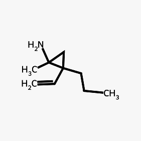 C=CC1(CCC)CC1(C)N